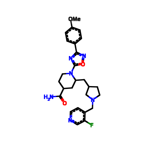 COc1ccc(-c2noc(N3CCC(C(N)=O)CC3CC3CCN(Cc4ccncc4F)C3)n2)cc1